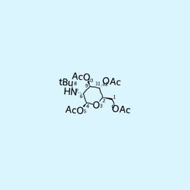 CC(=O)OC[C@H]1O[C@@H](OC(C)=O)[C@H](NC(C)(C)C)[C@@H](OC(C)=O)[C@@H]1OC(C)=O